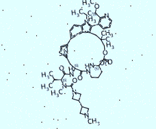 CCn1c(-c2cccnc2[C@H](C)OC)c2c3cc(ccc31)-c1csc(n1)C[C@H](NC(=O)[C@H](C(C)C)N(C)C(=O)N1CC(C3CN(C)C3)C1)C(=O)N1CCC[C@@](O)(N1)C(=O)OCC(C)(C)C2